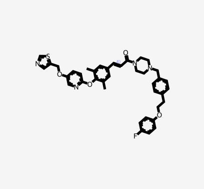 Cc1cc(/C=C/C(=O)N2CCN(Cc3ccc(CCOc4ccc(F)cc4)cc3)CC2)cc(C)c1Oc1ccc(OCc2cncs2)cn1